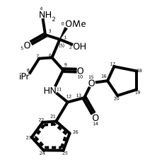 CO[C@](O)(C(N)=O)C(CC(C)C)C(=O)NC(C(=O)OC1CCCC1)c1ccccc1